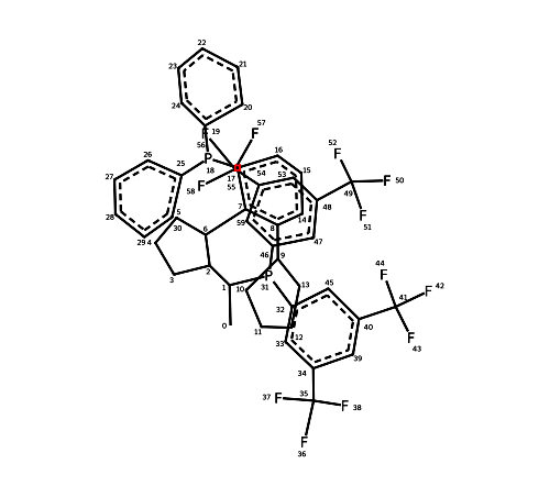 CC(C1CCCC1c1c(C2CCCC2)cccc1P(c1ccccc1)c1ccccc1)P(c1cc(C(F)(F)F)cc(C(F)(F)F)c1)c1cc(C(F)(F)F)cc(C(F)(F)F)c1